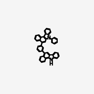 c1ccc(-n2c3ccccc3c3c4ccccc4c(-c4cccc(-c5cc6c7ccccc7[nH]c6c6ccccc56)c4)cc32)cc1